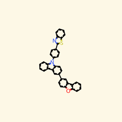 c1ccc2sc(-c3ccc(-n4c5ccccc5c5cc(-c6ccc7oc8ccccc8c7c6)ccc54)cc3)nc2c1